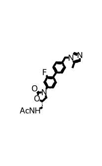 CC(=O)NC[C@H]1CN(c2ccc(-c3ccc(Cn4cncc4C)cc3)c(F)c2)C(=O)O1